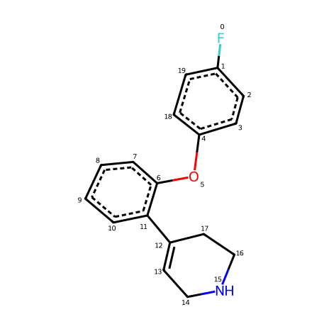 Fc1ccc(Oc2ccccc2C2=CCNCC2)cc1